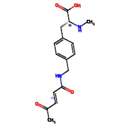 CN[C@H](Cc1ccc(CNC(=O)/C=C/C(C)=O)cc1)C(=O)O